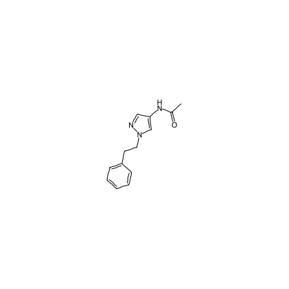 CC(=O)Nc1cnn(CCc2ccccc2)c1